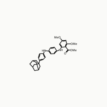 COC(=O)c1c(Nc2ccc(Nc3ccc(C45CC6CC(CC(C6)C4)C5)cc3)cc2)cc(OC)cc1OC